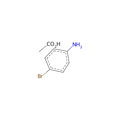 CC(=O)O.Nc1ccc(Br)cc1